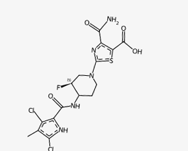 Cc1c(Cl)[nH]c(C(=O)NC2CCN(c3nc(C(N)=O)c(C(=O)O)s3)C[C@@H]2F)c1Cl